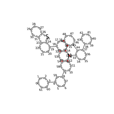 c1ccc(-c2cccc(-c3ccc(N(c4cccc(-c5cccc6c5sc5ccccc56)c4)c4cccc(-c5ccccc5)c4-c4ccccc4-c4ccccc4)cc3)c2)cc1